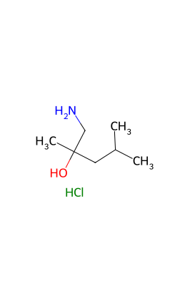 CC(C)CC(C)(O)CN.Cl